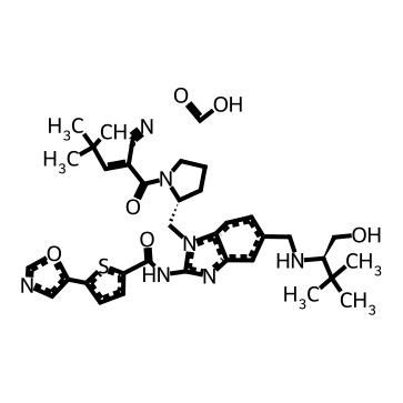 CC(C)(C)C=C(C#N)C(=O)N1CCC[C@@H]1Cn1c(NC(=O)c2ccc(-c3cnco3)s2)nc2cc(CN[C@@H](CO)C(C)(C)C)ccc21.O=CO